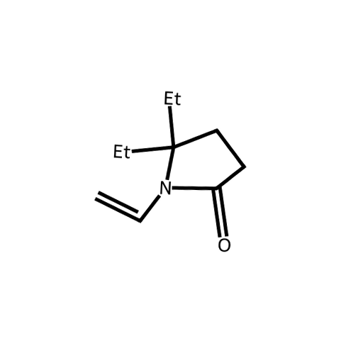 C=CN1C(=O)CCC1(CC)CC